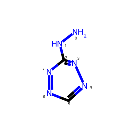 NNc1nncnn1